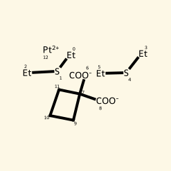 CCSCC.CCSCC.O=C([O-])C1(C(=O)[O-])CCC1.[Pt+2]